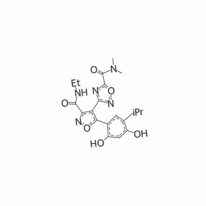 CCNC(=O)c1noc(-c2cc(C(C)C)c(O)cc2O)c1-c1noc(C(=O)N(C)C)n1